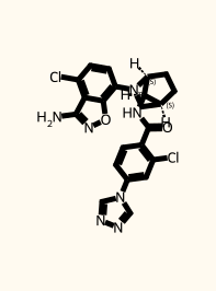 Nc1noc2c(N3C[C@@H]4CC[C@H]3[C@@H]4NC(=O)c3ccc(-n4cnnc4)cc3Cl)ccc(Cl)c12